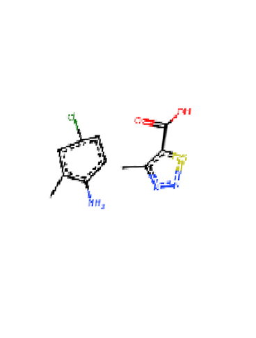 Cc1cc(Cl)ccc1N.Cc1nnsc1C(=O)O